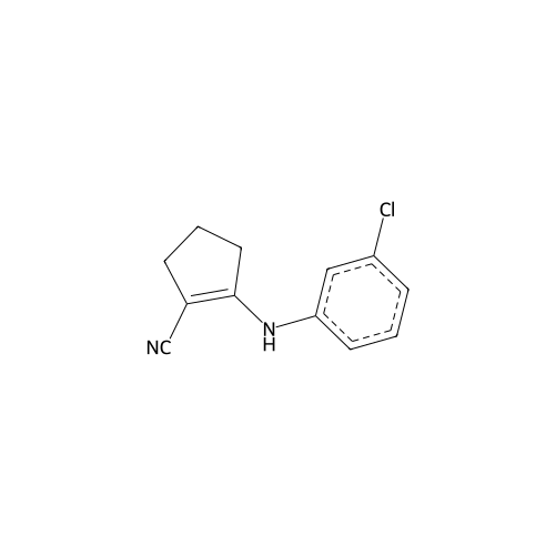 N#CC1=C(Nc2cccc(Cl)c2)CCC1